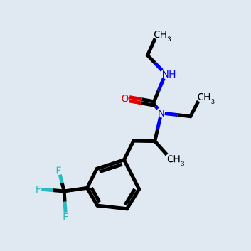 CCNC(=O)N(CC)C(C)Cc1cccc(C(F)(F)F)c1